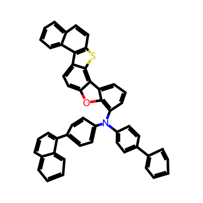 c1ccc(-c2ccc(N(c3ccc(-c4cccc5ccccc45)cc3)c3cccc4c3oc3ccc5c(sc6ccc7ccccc7c65)c34)cc2)cc1